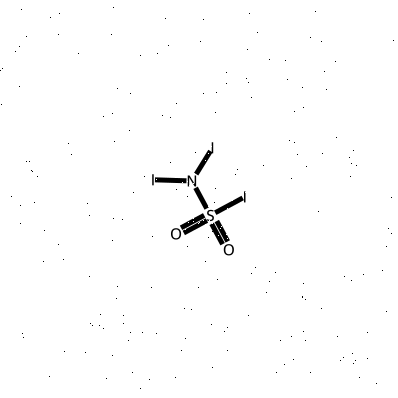 O=S(=O)(I)N(I)I